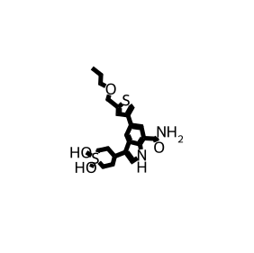 CCCOCc1cc(-c2cc(C(N)=O)c3[nH]cc(C4CCS(O)(O)CC4)c3c2)cs1